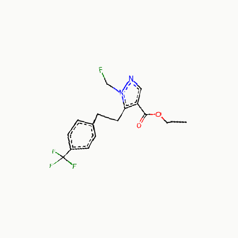 CCOC(=O)c1cnn(CF)c1CCc1ccc(C(F)(F)F)cc1